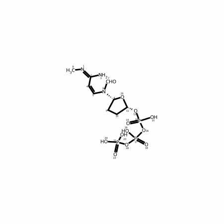 C/N=C(N)\C=C/N(C=O)[C@H]1CC[C@@H](OP(=O)(O)OP(=O)(O)OP(=O)(O)O)O1